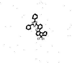 CCC1(CC)c2ccccc2-c2c1ccc1oc3c(-c4nc(-c5ccccc5)nc(-c5ccccc5)n4)cccc3c21